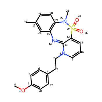 COc1ccc(CCN2C=CC=C3C2=Nc2cc(C)ccc2N(C)S3(=O)=O)cc1